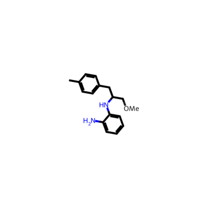 COCC(Cc1ccc(C)cc1)Nc1ccccc1N